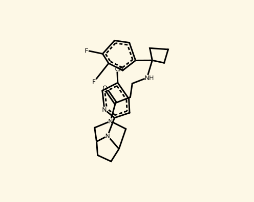 N#Cc1ccc(N2C3CCC2CN(C(=O)CCNC2(c4ccc(F)c(F)c4)CCC2)C3)nc1